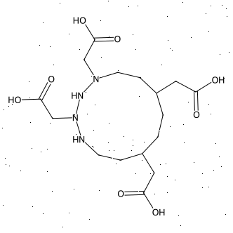 O=C(O)CC1CCNN(CC(=O)O)NN(CC(=O)O)CCC(CC(=O)O)CC1